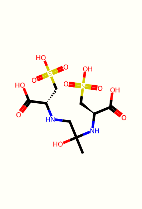 CC(O)(CN[C@@H](CS(=O)(=O)O)C(=O)O)N[C@@H](CS(=O)(=O)O)C(=O)O